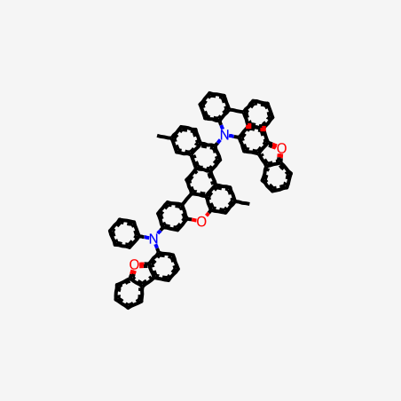 Cc1ccc2c(N(c3ccc4oc5ccccc5c4c3)c3ccccc3-c3ccccc3)cc3c4cc(C)cc5c4c(cc3c2c1)-c1ccc(N(c2ccccc2)c2cccc3c2oc2ccccc23)cc1O5